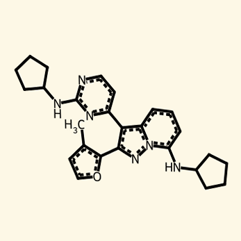 Cc1ccoc1-c1nn2c(NC3CCCC3)cccc2c1-c1ccnc(NC2CCCC2)n1